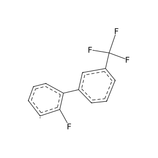 Fc1[c]cccc1-c1cccc(C(F)(F)F)c1